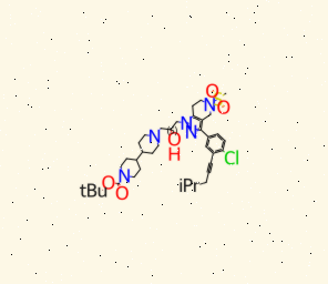 CC(C)CC#Cc1cc(-c2nn(C[C@@H](O)CN3CCC(C4CCN(C(=O)OC(C)(C)C)CC4)CC3)c3c2CN(S(C)(=O)=O)CC3)ccc1Cl